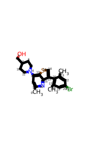 Cc1cc(N2CCC(CO)CC2)c2scc(-c3c(C)cc(Br)cc3C)c2n1